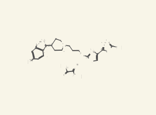 Cc1nnc(-c2csc(OCCCN3CCC(c4noc5cc(F)ccc45)CC3)n2)o1.O=C(O)C(=O)O